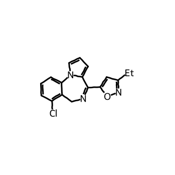 CCc1cc(C2=NCc3c(Cl)cccc3-n3cccc32)on1